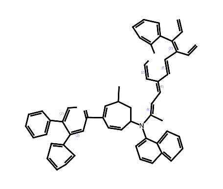 C=CC(/C=C/C(/C=C\C)=C/C=C(\C)N(c1cccc2ccccc12)C1C=CC(C(=C)/C=C(\C(=C/C)c2ccccc2)c2ccccc2)=CC(C)C1)=C(\C=C)c1ccccc1C